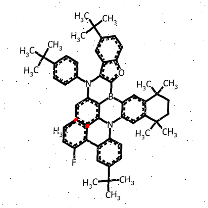 Cc1cc2c3c(c1)N(c1ccc(C(C)(C)C)cc1)c1c(oc4ccc(C(C)(C)C)cc14)B3c1cc3c(cc1N2c1ccc(C(C)(C)C)cc1-c1ccccc1F)C(C)(C)CCC3(C)C